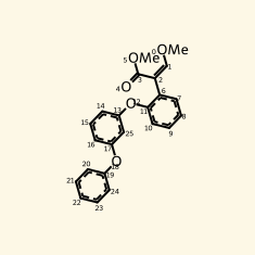 COC=C(C(=O)OC)c1ccccc1Oc1cccc(Oc2ccccc2)c1